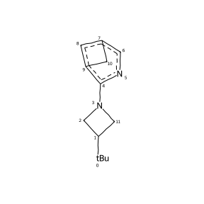 CC(C)(C)C1CN(c2ncc3cc2C3)C1